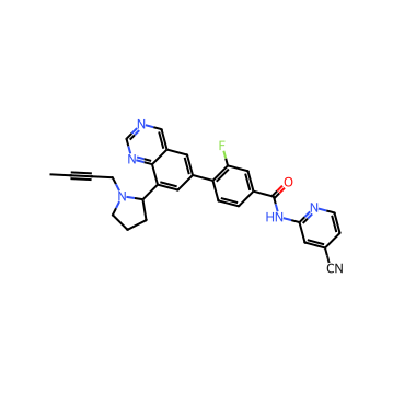 CC#CCN1CCCC1c1cc(-c2ccc(C(=O)Nc3cc(C#N)ccn3)cc2F)cc2cncnc12